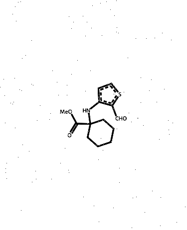 COC(=O)C1(Nc2ccsc2C=O)CCCCC1